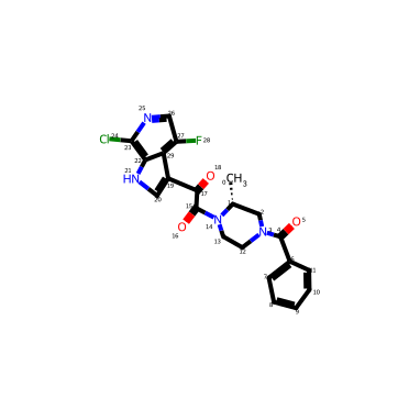 C[C@@H]1CN(C(=O)c2ccccc2)CCN1C(=O)C(=O)c1c[nH]c2c(Cl)ncc(F)c12